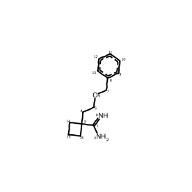 N=C(N)C1(CCOCc2ccccc2)CCC1